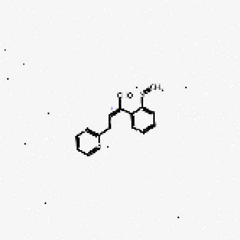 C=Nc1ccccc1/C(C=O)=C\Cc1ccccc1